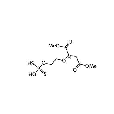 COC(=O)C[C@H](OCCOP(O)(=S)S)C(=O)OC